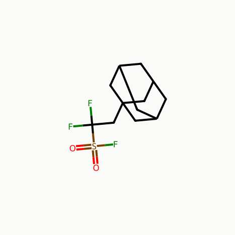 O=S(=O)(F)C(F)(F)CC12CC3CC(CC(C3)C1)C2